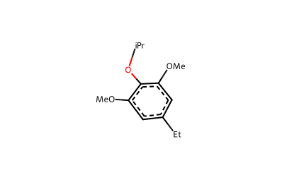 CCc1cc(OC)c(OC(C)C)c(OC)c1